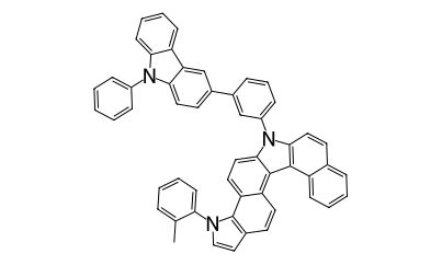 Cc1ccccc1-n1ccc2ccc3c(ccc4c3c3c5ccccc5ccc3n4-c3cccc(-c4ccc5c(c4)c4ccccc4n5-c4ccccc4)c3)c21